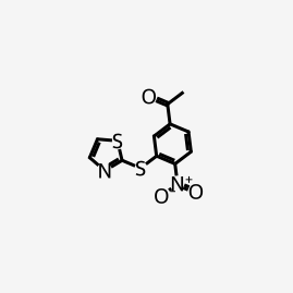 CC(=O)c1ccc([N+](=O)[O-])c(Sc2nccs2)c1